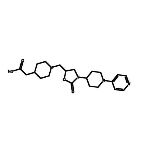 O=C(O)CC1CCN(CC2CN(C3CCN(c4ccncc4)CC3)C(=O)O2)CC1